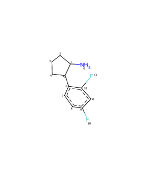 NC1CCCC1c1ccc(F)cc1F